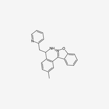 Cc1ccc(C(N)Cc2ccccn2)c(-c2noc3ccccc23)c1